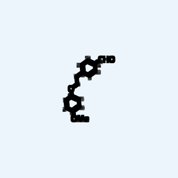 COc1ccc(OCCc2ccc(C=O)cc2)cc1